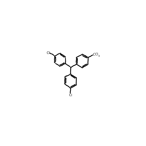 Clc1ccc(C(c2ccc(Cl)cc2)c2ccc(C(Cl)(Cl)Cl)cc2)cc1